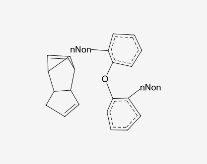 C1=CC2C3C=CC(C3)C2C1.CCCCCCCCCc1ccccc1Oc1ccccc1CCCCCCCCC